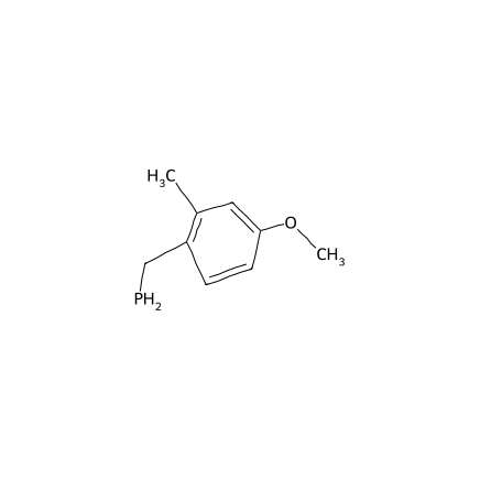 COc1ccc(CP)c(C)c1